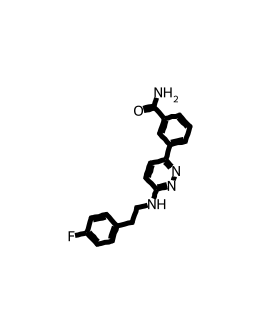 NC(=O)c1cccc(-c2ccc(NCCc3ccc(F)cc3)nn2)c1